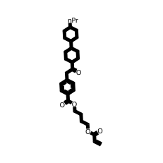 C=CC(=O)OCCCCOC(=O)c1ccc(CC(=O)C2CCC(C3CCC(CCC)CC3)CC2)cc1